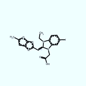 CCN1/C(=C\c2nc3cc(C)oc3s2)N(CC(=O)O)c2cc(I)ccc21